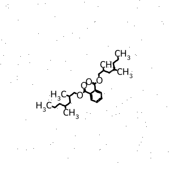 CCCC(C)CC(C)COC(=O)c1ccccc1C(=O)OCC(C)CC(C)CCC